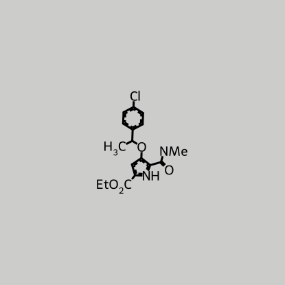 CCOC(=O)c1cc(OC(C)c2ccc(Cl)cc2)c(C(=O)NC)[nH]1